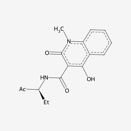 CC[C@H](NC(=O)c1c(O)c2ccccc2n(C)c1=O)C(C)=O